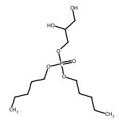 CCCCCOP(=O)(OCCCCC)OCC(O)CO